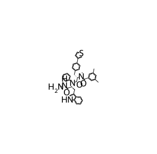 Cc1cc(C)cc(C(=O)N(C)[C@@H](Cc2ccc(-c3ccsc3)cc2)C(=O)N(c2ccccc2)[C@@H](Cc2c[nH]c3ccccc23)C(=O)NN)c1